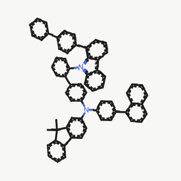 CC1(C)c2ccccc2-c2ccc(N(c3ccc(-c4ccccc4-n4c5ccccc5c5cccc(-c6ccc(-c7ccccc7)cc6)c54)cc3)c3ccc(-c4cccc5ccccc45)cc3)cc21